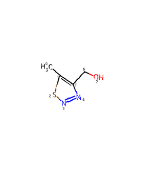 Cc1snnc1CO